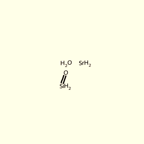 O.O=[SiH2].[SrH2]